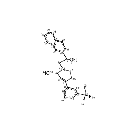 Cl.OC(CN1CC=C(c2cccc(C(F)(F)F)c2)CC1)c1ccc2ccccc2c1